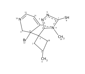 CC1CC(c2nnc(S)n2C)(C2(Br)C=CC=NC2)C1